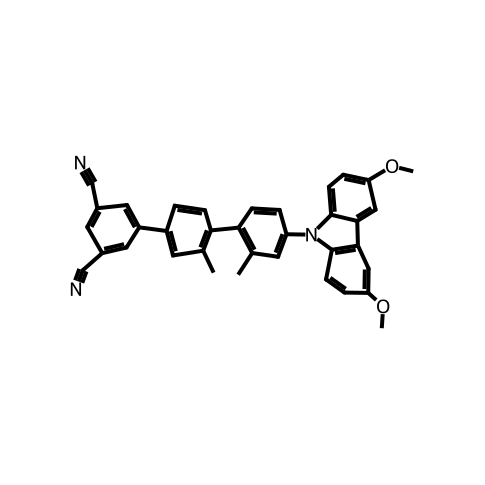 COc1ccc2c(c1)c1cc(OC)ccc1n2-c1ccc(-c2ccc(-c3cc(C#N)cc(C#N)c3)cc2C)c(C)c1